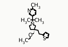 CCOC[C@]1(CCc2cccs2)CCN(C(C)(C)c2ccc(C)nc2)C1